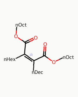 CCCCCCCCCC/C(C(=O)OCCCCCCCC)=C(\CCCCCC)C(=O)OCCCCCCCC